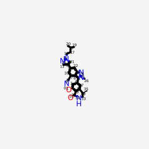 COc1cc(-c2c3c(C#N)cc(-c4cnn(CCC(C)C)c4)cc3nn2C)cc2c1C(=O)NC[C@@H]2C